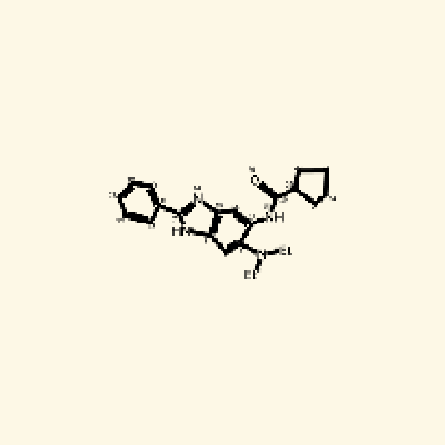 CCN(CC)c1cc2[nH]c(-c3ccccc3)nc2cc1NC(=O)C1CCCC1